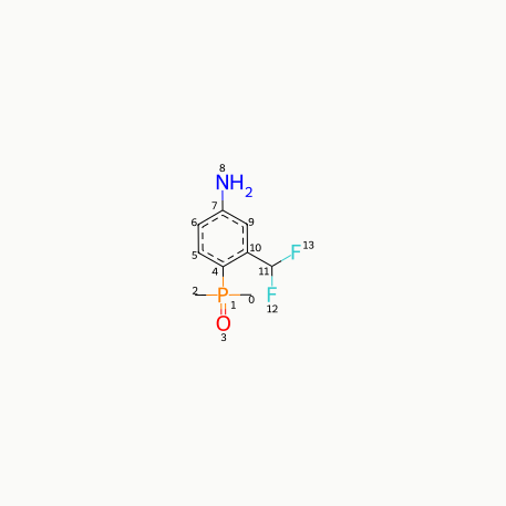 CP(C)(=O)c1ccc(N)cc1C(F)F